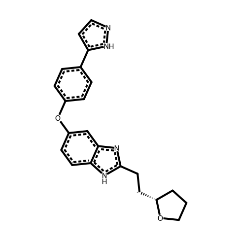 [CH](Cc1nc2cc(Oc3ccc(-c4ccn[nH]4)cc3)ccc2[nH]1)[C@@H]1CCCO1